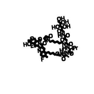 C=C1OCc2c(cc3n(c2=O)Cc2cc4c(CCCCOCNC(=O)[C@H](C)NC(=O)[C@@H](NC(=O)[C@H](CCC(=O)NC[C@H](O)[C@@H](O)[C@H](O)[C@H](O)CO)NC(=O)CCCCCN5C(=O)C=CC5=O)C(C)C)c(C)c(F)cc4nc2-3)[C@@]1(O)CC